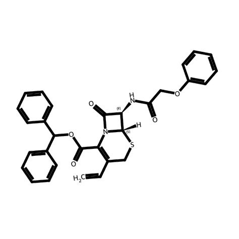 C=CC1=C(C(=O)OC(c2ccccc2)c2ccccc2)N2C(=O)[C@@H](NC(=O)COc3ccccc3)[C@@H]2SC1